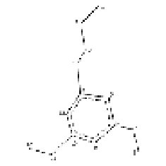 CCCCc1cc(CC)[c]c(CC)c1